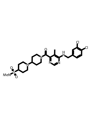 CNS(=O)(=O)C1CCN(C2CCN(C(=O)c3ncnc(NCc4ccc(Cl)c(Cl)c4)c3C)CC2)CC1